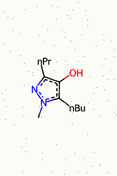 CCCCc1c(O)c(CCC)nn1C